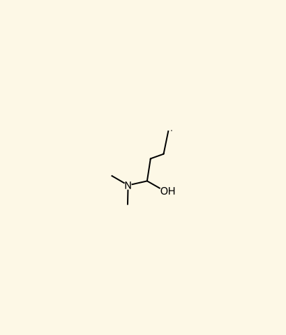 [CH2]CCC(O)N(C)C